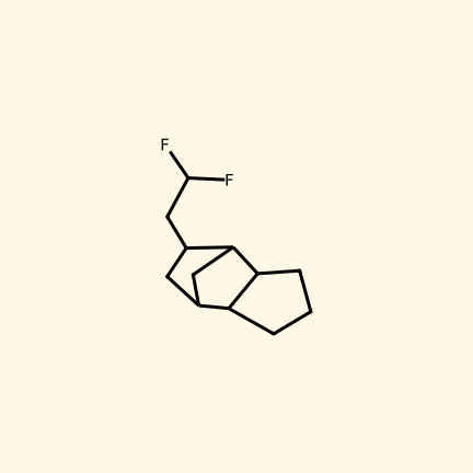 FC(F)CC1CC2CC1C1CCCC21